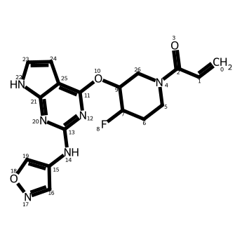 C=CC(=O)N1CCC(F)C(Oc2nc(Nc3cnoc3)nc3[nH]ccc23)C1